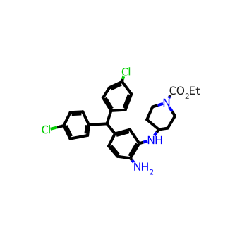 CCOC(=O)N1CCC(Nc2cc(C(c3ccc(Cl)cc3)c3ccc(Cl)cc3)ccc2N)CC1